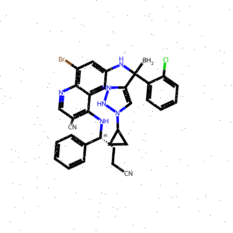 BC(Nc1cc(Br)c2ncc(C#N)c(N[C@H](CCC#N)c3ccccc3)c2c1)(C1=CN(C2CC2)NN1)c1ccccc1Cl